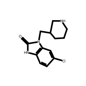 O=c1[nH]c2ccc(Cl)cc2n1CC1CCCNC1